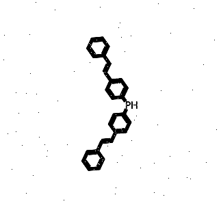 C(=Cc1ccc(Pc2ccc(C=Cc3ccccc3)cc2)cc1)c1ccccc1